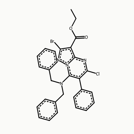 CCOC(=O)c1c(Br)nn2c(N(Cc3ccccc3)Cc3ccccc3)c(-c3ccccc3)c(Cl)nc12